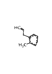 [CH]=CCc1ccccc1C